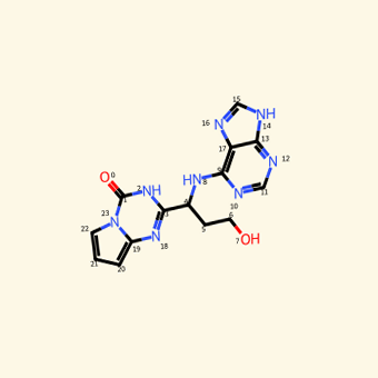 O=c1[nH]c(C(CCO)Nc2ncnc3[nH]cnc23)nc2cccn12